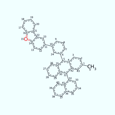 Cc1ccc2c(-c3cccc(-c4ccc5oc6ccccc6c5c4)c3)c3ccccc3c(-c3cccc4ccccc34)c2c1